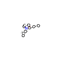 CC1(C)c2ccccc2-c2ccc(N(c3ccc(-c4ccc(-c5ccccc5)cc4)cc3)c3ccccc3-c3ccccc3)cc21